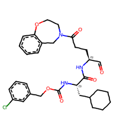 O=C[C@H](CCC(=O)N1CCOc2ccccc2C1)NC(=O)[C@H](CC1CCCCC1)NC(=O)OCc1cccc(Cl)c1